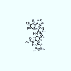 C=CC(=O)Nc1cc(Nc2cc(N3OCC[C@@H]3c3ccc(F)c(Cl)c3F)ncn2)c(OC)cc1N1C[C@@H](C)O[C@@H](C)C1